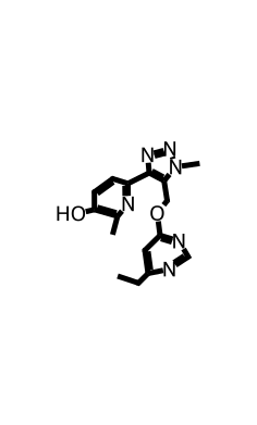 CCc1cc(OCc2c(-c3ccc(O)c(C)n3)nnn2C)ncn1